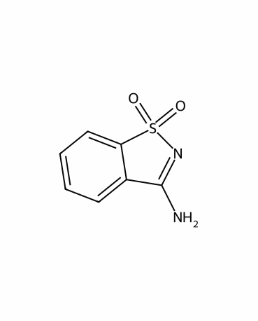 NC1=NS(=O)(=O)c2ccccc21